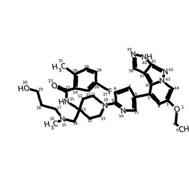 CCOc1cc(-c2ccc(N3CCC(CN(C)CCCO)(NC(=O)c4cc(F)ccc4C)CC3)nc2)c2c3cn[nH]c3nn2c1